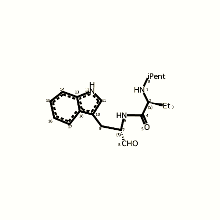 CCCC(C)N[C@@H](CC)C(=O)N[C@H](C=O)Cc1c[nH]c2ccccc12